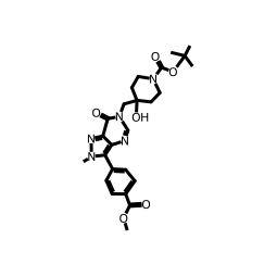 COC(=O)c1ccc(-c2c3ncn(CC4(O)CCN(C(=O)OC(C)(C)C)CC4)c(=O)c3nn2C)cc1